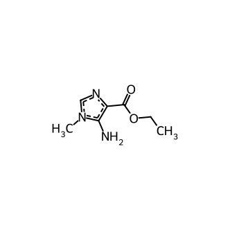 CCOC(=O)c1ncn(C)c1N